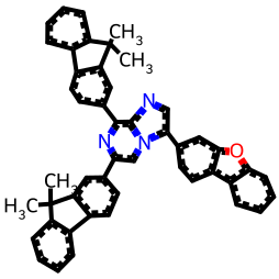 CC1(C)c2ccccc2-c2ccc(-c3cn4c(-c5ccc6c(c5)oc5ccccc56)cnc4c(-c4ccc5c(c4)C(C)(C)c4ccccc4-5)n3)cc21